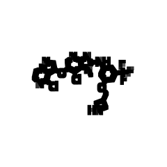 Cn1c(Nc2cc(OCC3CNC3)cc(C(F)(F)F)c2)nc2ncc(Oc3cnn4ccnc(Cl)c34)c(Cl)c21